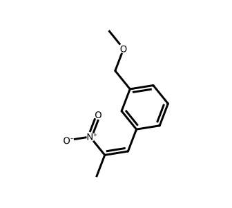 COCc1cccc(C=C(C)[N+](=O)[O-])c1